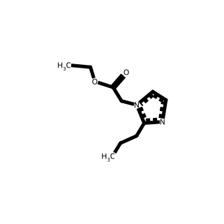 CCCc1nccn1CC(=O)OCC